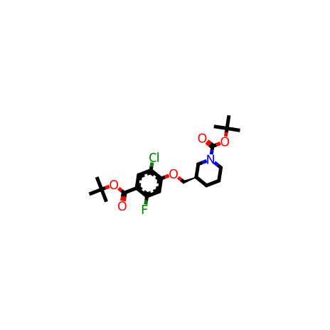 CC(C)(C)OC(=O)c1cc(Cl)c(OC[C@@H]2CCCN(C(=O)OC(C)(C)C)C2)cc1F